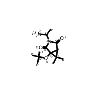 CC(N)N1C(=O)C2C(C)(C)C2(OC(C)(C)C)C1=O